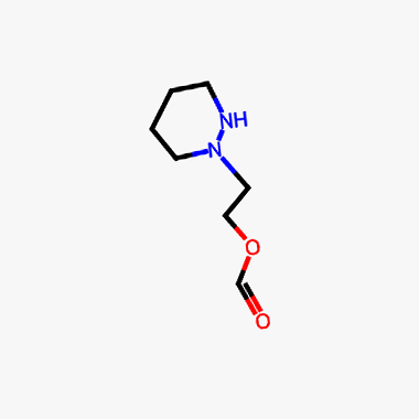 O=COCCN1CCCCN1